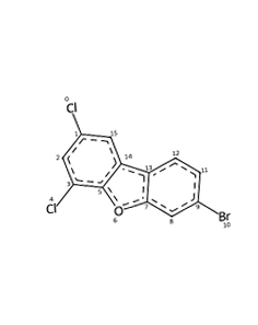 Clc1cc(Cl)c2oc3cc(Br)ccc3c2c1